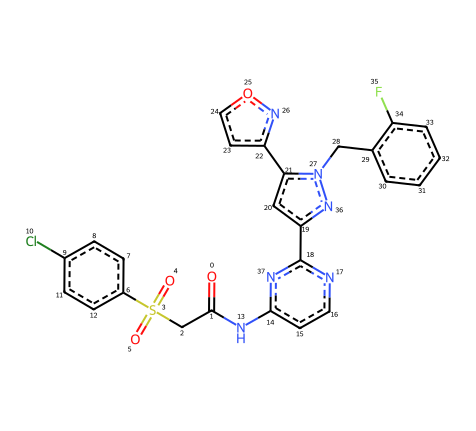 O=C(CS(=O)(=O)c1ccc(Cl)cc1)Nc1ccnc(-c2cc(-c3ccon3)n(Cc3ccccc3F)n2)n1